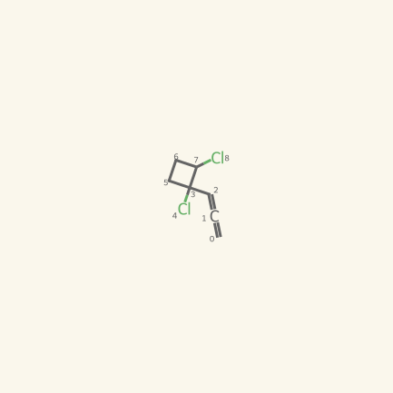 C=C=CC1(Cl)CCC1Cl